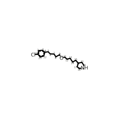 Clc1ccc(CCCCCOCCCCCC2C[CH]NCC2)cc1